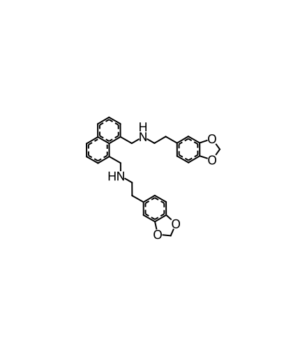 c1cc(CNCCc2ccc3c(c2)OCO3)c2c(CNCCc3ccc4c(c3)OCO4)cccc2c1